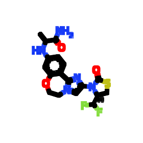 CC(Nc1ccc2c(c1)OCCn1cc(N3C(=O)SC[C@H]3C(F)F)nc1-2)C(N)=O